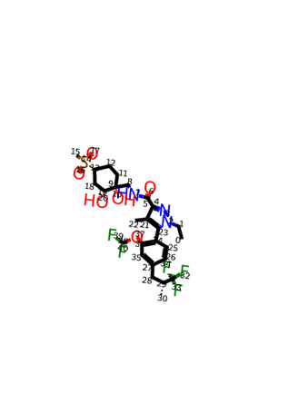 CCn1nc(C(=O)NC[C@]2(O)CC[C@@H](S(C)(=O)=O)C[C@H]2O)c(C)c1-c1ccc(C[C@@H](C)C(F)(F)F)cc1OC(F)F